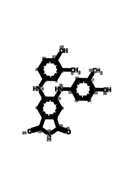 Cc1cc(Nc2cc3c(cc2Nc2ccc(O)c(C)c2)C(=O)NC3=O)ccc1O